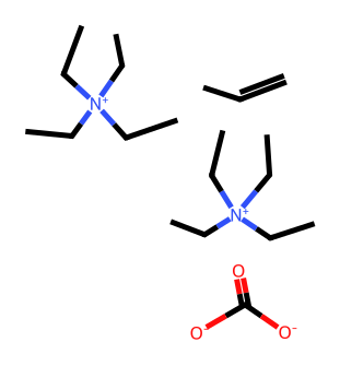 C=CC.CC[N+](CC)(CC)CC.CC[N+](CC)(CC)CC.O=C([O-])[O-]